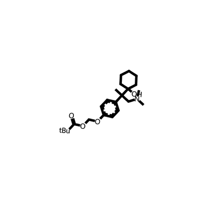 CN(C)CC(C)(c1ccc(OCOC(=O)C(C)(C)C)cc1)C1(O)CCCCC1